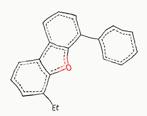 CCc1cccc2c1oc1c(-c3ccccc3)cccc12